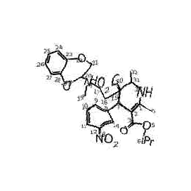 CC1=C(C(=O)OC(C)C)C(c2cccc([N+](=O)[O-])c2)C(CCN(C)C2COc3ccccc3O2)(C(=O)O)C(C)N1